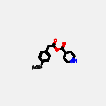 CC(=O)Nc1ccc(CC(=O)OC(=O)C2CCNCC2)cc1